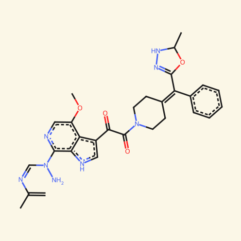 C=C(C)/N=C\N(N)c1ncc(OC)c2c(C(=O)C(=O)N3CCC(=C(C4=NNC(C)O4)c4ccccc4)CC3)c[nH]c12